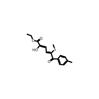 CCOC(=O)C(O)=CC=C(SC)C(=O)c1ccc(C)cc1